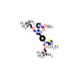 CCOC(=O)c1ncsc1N(COCC[Si](C)(C)C)c1ccc(-c2cn(COCC[Si](C)(C)C)c([C@@H]3CCCN3C(=O)OC(C)(C)C)n2)cc1